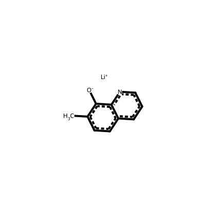 Cc1ccc2cccnc2c1[O-].[Li+]